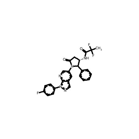 CC(F)(F)C(=O)N[C@H]1CC(=O)N(c2cnc3c(cnn3-c3ccc(F)cc3)c2)C1c1ccccc1